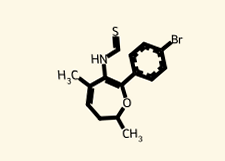 CC1=CCC(C)OC(c2ccc(Br)cc2)=C1NC=S